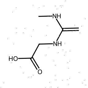 C=C(NC)NCC(=O)O